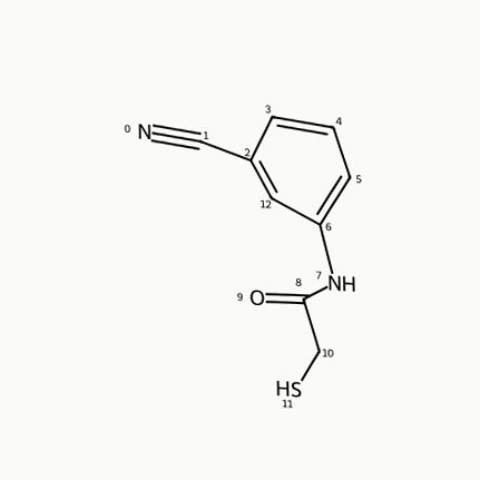 N#Cc1cccc(NC(=O)CS)c1